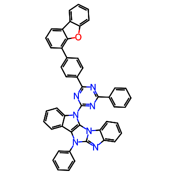 c1ccc(-c2nc(-c3ccc(-c4cccc5c4oc4ccccc45)cc3)nc(-n3c4ccccc4c4c3n3c5ccccc5nc3n4-c3ccccc3)n2)cc1